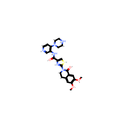 COc1cc2c(cc1OC)C(=O)N(c1nc(C(=O)Nc3cnccc3N3CCNCC3)cs1)CC2